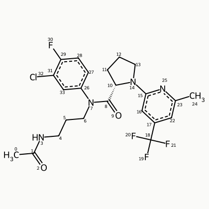 CC(=O)NCCCN(C(=O)[C@@H]1CCCN1c1cc(C(F)(F)F)cc(C)n1)c1ccc(F)c(Cl)c1